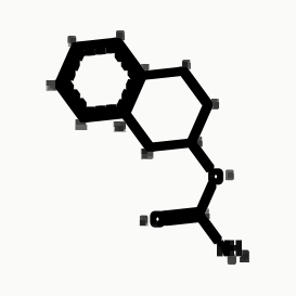 NC(=O)OC1CCc2ccccc2C1